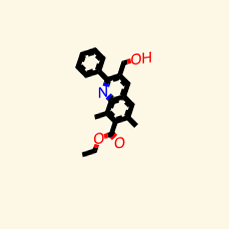 CCOC(=O)c1c(C)cc2cc(CO)c(-c3ccccc3)nc2c1C